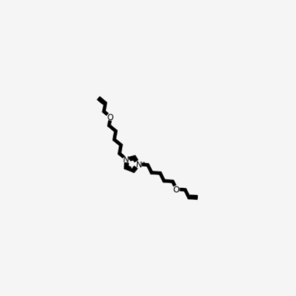 C=CCOCCCCCn1cc[n+](CCCCCOCC=C)c1